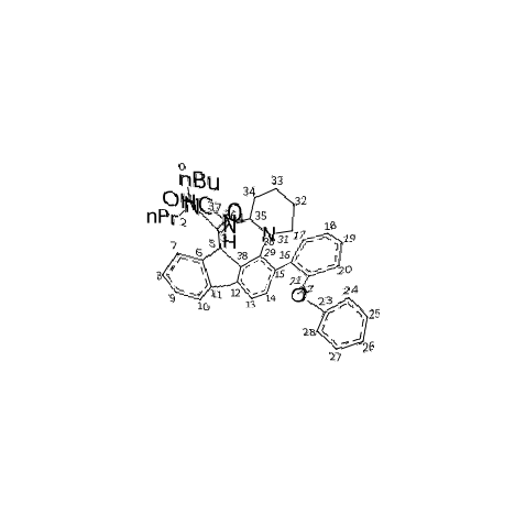 CCCCN(CCC)C(=O)C1c2ccccc2-c2ccc(-c3ccccc3Oc3ccccc3)c(N3CCCCC3NC=O)c21